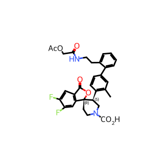 CC(=O)OCC(=O)NCCc1ccccc1-c1ccc([C@H]2CN(C(=O)O)CC[C@@]23OC(=O)c2cc(F)c(F)cc23)c(C)c1